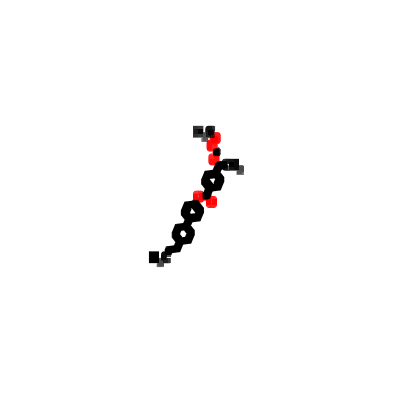 C=C(OCOOC)c1ccc(C(=O)Oc2ccc(C3CCC(CCC)CC3)cc2)cc1